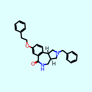 O=C1NC[C@@H]2CN(Cc3ccccc3)C[C@H]2c2ccc(OCCc3ccccc3)cc21